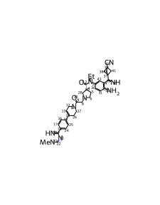 CCN(C(=O)[C@@H]1CCN(CC(=O)N2CC=C(c3ccc(C(=N)/N=C\NC)cc3)CC2)C1)c1ccc(N)c(C(=N)C23CC(C#N)(C2)C3)c1